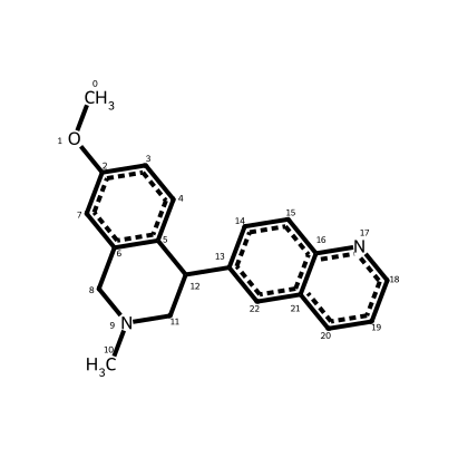 COc1ccc2c(c1)CN(C)CC2c1ccc2ncccc2c1